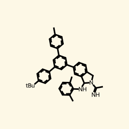 CC(=N)N1Cc2ccc(-c3cc(-c4ccc(C)cc4)cc(-c4ccc(C(C)(C)C)cc4)c3)cc2C1Nc1c(C)cccc1C